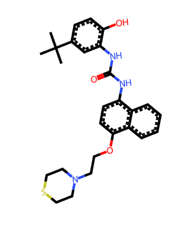 CC(C)(C)c1ccc(O)c(NC(=O)Nc2ccc(OCCN3CCSCC3)c3ccccc23)c1